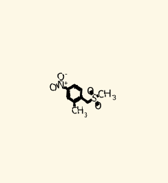 Cc1cc([N+](=O)[O-])ccc1CS(C)(=O)=O